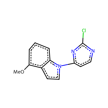 COc1cccc2c1ccn2-c1ccnc(Cl)n1